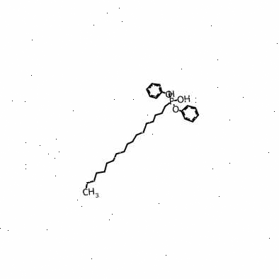 CCCCCCCCCCCCCCCCCC[PH](O)(Oc1ccccc1)Oc1ccccc1